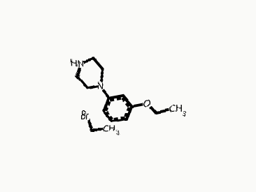 CCBr.CCOc1cccc(N2CCNCC2)c1